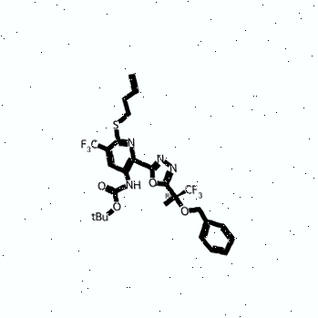 C=CCCSc1nc(-c2nnc([C@@](C)(OCc3ccccc3)C(F)(F)F)o2)c(NC(=O)OC(C)(C)C)cc1C(F)(F)F